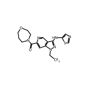 O=C(c1cc2c(cn1)c(Nc1cncs1)nn2CC(F)(F)F)N1CCCOCC1